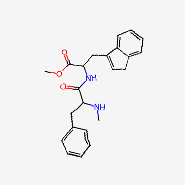 CNC(Cc1ccccc1)C(=O)NC(CC1=CCc2ccccc21)C(=O)OC